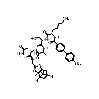 CCCCc1ccc(-c2ccc(C(=O)N[C@@H](CCCCN)C(=O)N[C@H](C(=O)N[C@@H](C)C(=O)N[C@@H](CC(N)=O)C(=O)NCB3OC4C[C@@H]5C[C@@H](C5(C)C)[C@]4(C)O3)[C@@H](C)O)cc2)cc1